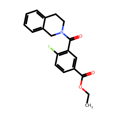 CCOC(=O)c1ccc(F)c(C(=O)N2CCc3ccccc3C2)c1